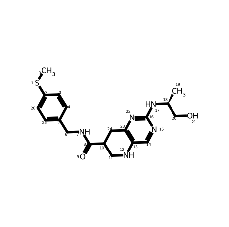 CSc1ccc(CNC(=O)C2CNc3cnc(N[C@@H](C)CO)nc3C2)cc1